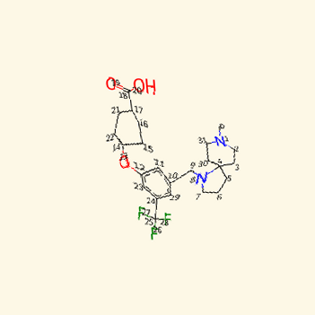 CN1CCC2(CCCN2Cc2cc(OC3CCC(C(=O)O)CC3)cc(C(F)(F)F)c2)CC1